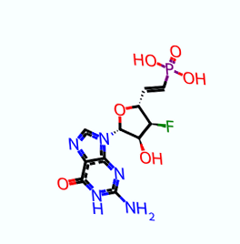 Nc1nc2c(ncn2[C@@H]2O[C@H](C=CP(=O)(O)O)[C@@H](F)[C@H]2O)c(=O)[nH]1